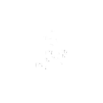 C[C@@H]1C(=O)NCCN1C(=O)N[C@@H](c1ccc(F)c(Cl)c1)c1cnn(CC(F)(F)F)c1